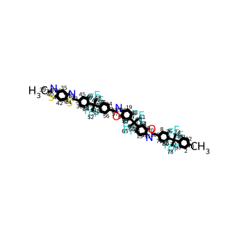 Cc1ccc(C(c2ccc(-c3nc4ccc(C(c5ccc6nc(-c7ccc(C(c8ccc(-c9nc%10cc%11nc(C)sc%11cc%10s9)cc8)(C(F)(F)F)C(F)(F)F)cc7)oc6c5)(C(F)(F)F)C(F)(F)F)cc4o3)cc2)(C(F)(F)F)C(F)(F)F)cc1